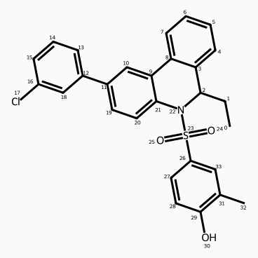 CCC1c2ccccc2-c2cc(-c3cccc(Cl)c3)ccc2N1S(=O)(=O)c1ccc(O)c(C)c1